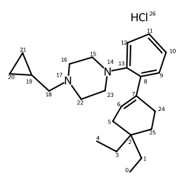 CCC1(CC)CC=C(c2ccccc2N2CCN(CC3CC3)CC2)CC1.Cl